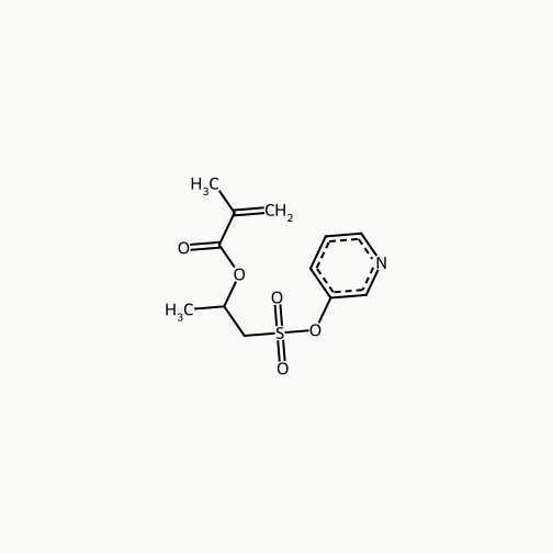 C=C(C)C(=O)OC(C)CS(=O)(=O)Oc1cccnc1